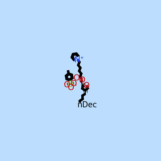 CCCCCCCCCCCCCC[C@@H]1CO[C@@H](COC(=O)CCCCC[n+]2ccccc2)C1.Cc1ccc(S(=O)(=O)[O-])cc1